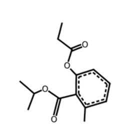 CCC(=O)Oc1cccc(C)c1C(=O)OC(C)C